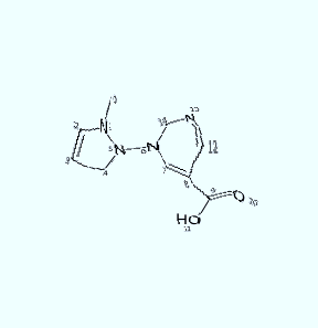 CN1C=CCN1N1C=C(C(=O)O)C=NC1